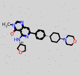 Cn1cnc2cc(-c3ccc([C@H]4CC[C@H](N5CCOCC5)CC4)cc3)nc(N[C@@H]3CCOC3)c2c1=O